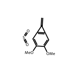 C=C1c2cc(OC)c(OC)cc21.O=S=O